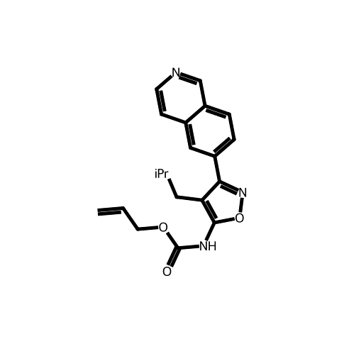 C=CCOC(=O)Nc1onc(-c2ccc3cnccc3c2)c1CC(C)C